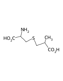 CC(CSCC(N)C(=O)O)C(=O)O